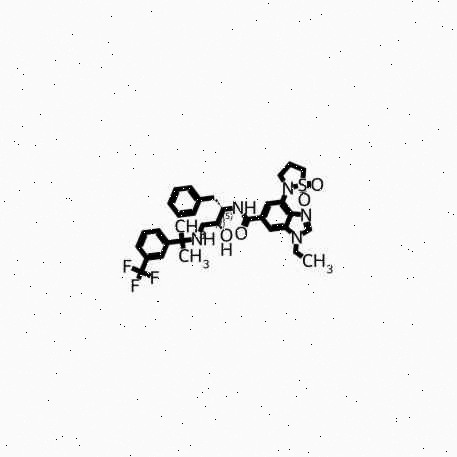 CCn1cnc2c(N3CCCS3(=O)=O)cc(C(=O)N[C@@H](Cc3ccccc3)[C@H](O)CNC(C)(C)c3cccc(C(F)(F)F)c3)cc21